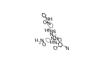 C=N/C(=N\c1c(C)nc(Nc2c(Cl)cc(C#N)cc2Cl)n1[C@H]1CC[C@@H](C(N)=O)CC1)N[C@@H]1CCCN(C(=O)Nc2ccccc2)C1